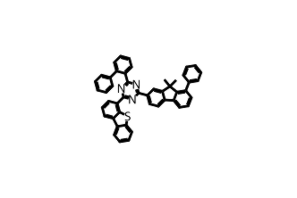 CC1(C)c2cc(-c3nc(-c4ccccc4-c4ccccc4)nc(-c4cccc5c4sc4ccccc45)n3)ccc2-c2cccc(-c3ccccc3)c21